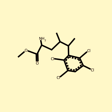 COC(=O)C(N)CC(C)C(C)c1c(Cl)c(Cl)cc(Cl)c1Cl